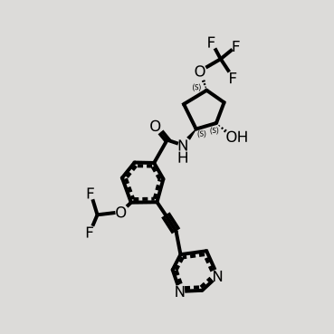 O=C(N[C@H]1C[C@H](OC(F)(F)F)C[C@@H]1O)c1ccc(OC(F)F)c(C#Cc2cncnc2)c1